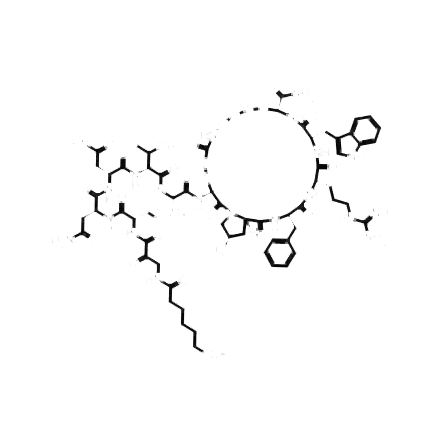 CCCCCCCCCCCCCCCC(=O)NCC(=O)C(=O)N[C@@H](CO)C(=O)N[C@@H](CC(N)=O)C(=O)N[C@@H](CC(N)=O)C(=O)N[C@H](C(=O)N[C@@H](CCCC)C(=O)N[C@H]1CCC(=O)NCCCC[C@@H](C(N)=O)NC(=O)[C@H](Cc2c[nH]c3ccccc23)NC(=O)[C@H](CCCNC(=N)N)NC(=O)[C@@H](Cc2ccccc2)NC(=O)[C@@H]2C[C@@H](O)CN2C1=O)C(C)O